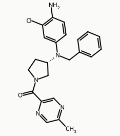 Cc1cnc(C(=O)N2CC[C@H](N(Cc3ccccc3)c3ccc(N)c(Cl)c3)C2)cn1